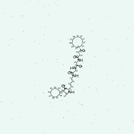 CC1NC(CCCCNC(=O)CNC(=O)CNC(=O)CCC(=O)C2CCCCCCCCCC2)C(=O)C1C1CCCCCCCC1